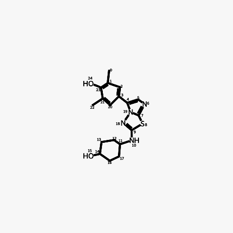 Cc1cc(-c2cnc3sc(NC4CCC(O)CC4)nn23)cc(C)c1O